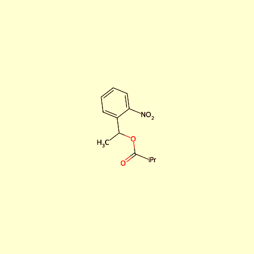 CC(C)C(=O)OC(C)c1ccccc1[N+](=O)[O-]